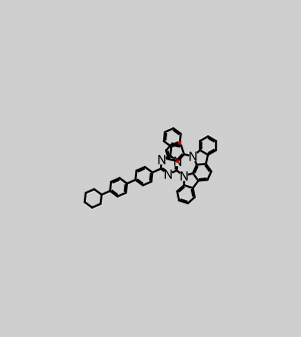 c1ccc(-c2nc(-c3ccc(-c4ccc(C5CCCCC5)cc4)cc3)nc(-n3c4ccccc4c4ccc5c6ccccc6n(-c6ccccc6)c5c43)n2)cc1